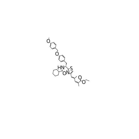 CCOC(=O)/C(C)=C\C(C)=C\c1csc([C@H](Cc2ccc(OCc3ccc(OC)cc3)cc2)NC(=O)C2CCCCC2)n1